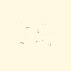 CC1=C(C)C(=O)OC1=O.O=C([O-])C=CC(=O)O.[Na+]